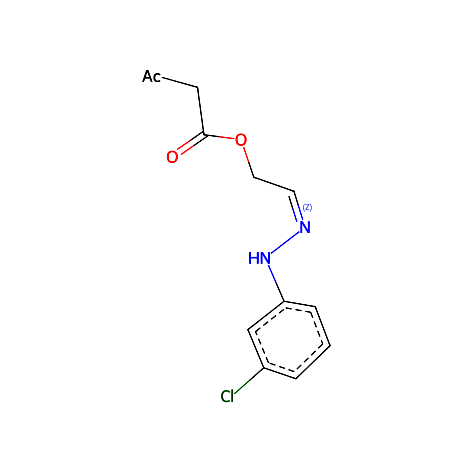 CC(=O)CC(=O)OC/C=N\Nc1cccc(Cl)c1